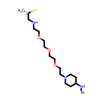 CC(C)NC1CCN(CCOCCOCCOCCNC[C@H](C)S)CC1